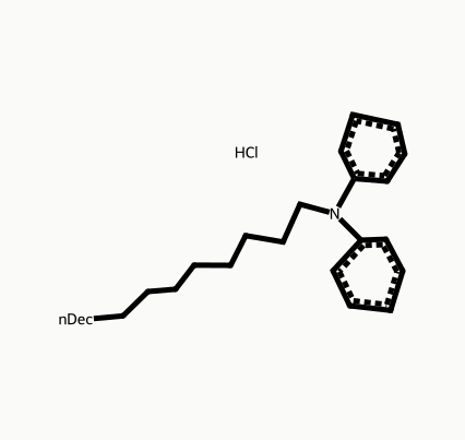 CCCCCCCCCCCCCCCCCCN(c1ccccc1)c1ccccc1.Cl